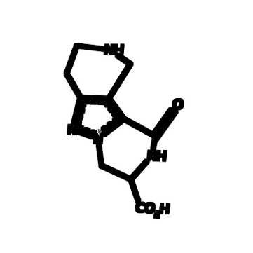 O=C1NC(C(=O)O)Cn2nc3c(c21)CNCC3